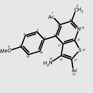 COc1ccc(-c2c(C(C)=O)c(C)nc3sc(C(C)=O)c(N)c23)cc1